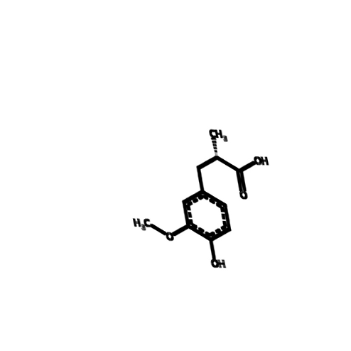 COc1cc(C[C@H](C)C(=O)O)ccc1O